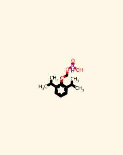 CC(C)c1cccc(C(C)C)c1OCO[PH](=O)O